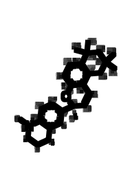 CN1CCCc2cc([C@]3(C)C=Cc4c(ccc5c4CC(C)(C)CC5(C)C)O3)ccc21